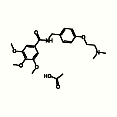 CC(=O)O.COc1cc(C(=O)NCc2ccc(OCCN(C)C)cc2)cc(OC)c1OC